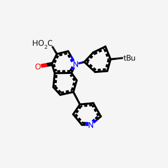 CC(C)(C)c1ccc(-n2cc(C(=O)O)c(=O)c3ccc(-c4ccncc4)cc32)cc1